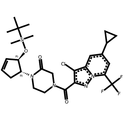 CC(C)(C)[Si](C)(C)O[C@@H]1C=CC[C@H]1N1CCN(C(=O)c2nn3c(C(F)(F)F)cc(C4CC4)cc3c2Cl)CC1=O